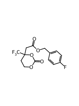 O=C(CC1(C(F)(F)F)CCOC(=O)O1)OCc1ccc(F)cc1